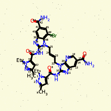 CCn1nc(C)cc1C(=O)Nc1nc2cc(C(N)=O)cnc2n1CC=CCn1c(NC(=O)c2cc(C)nn2CC)nc2cc(C(N)=O)cc(Br)c21